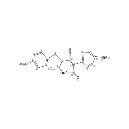 COc1ccc(CC2C(=O)NC(=O)N(c3ccc(OC)cc3)C2=O)cc1